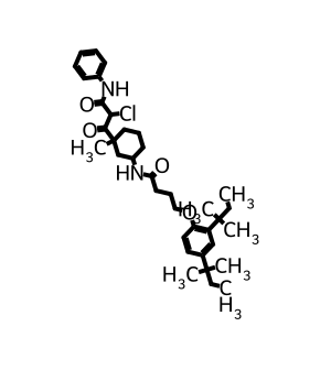 CCC(C)(C)c1ccc(OCCCC(=O)NC2CCCC(C)(C(=O)C(Cl)C(=O)Nc3ccccc3)C2)c(C(C)(C)CC)c1